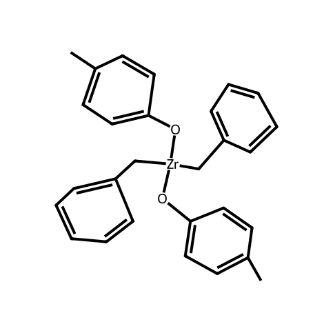 Cc1ccc([O][Zr]([CH2]c2ccccc2)([CH2]c2ccccc2)[O]c2ccc(C)cc2)cc1